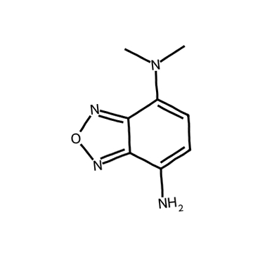 CN(C)c1ccc(N)c2nonc12